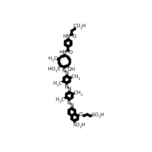 C=C1/C=C(NC(=O)c2ccc(NC(=O)CCC(=O)O)cc2)\C=C/C/C(O)=C(N=Nc2cc(C)c(N=Nc3cc(C)c(N=Nc4ccc5cc(S(=O)(=O)O)cc(OCCCS(=O)(=O)O)c5c4)cc3C)cc2C)\C(S(=O)(=O)O)=C/1